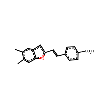 Cc1cc2cc(C=Cc3ccc(C(=O)O)cc3)oc2cc1C